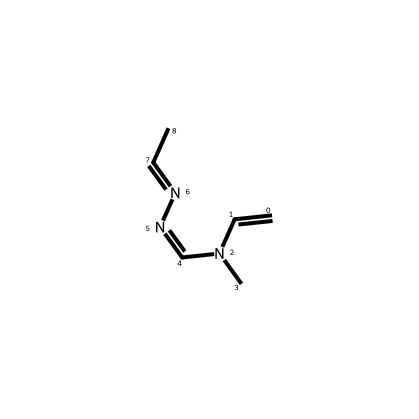 C=CN(C)/C=N\N=C\C